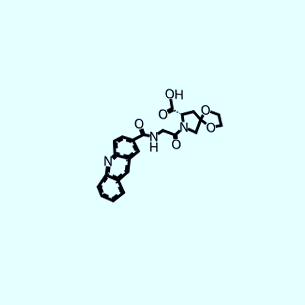 O=C(NCC(=O)N1CC2(C[C@H]1C(=O)O)OCCO2)c1ccc2nc3ccccc3cc2c1